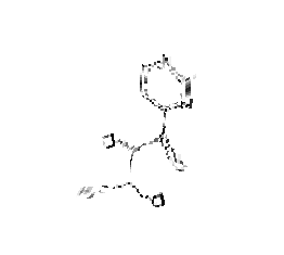 CC(Cl)C(Cl)C(=O)c1ccn[c]n1